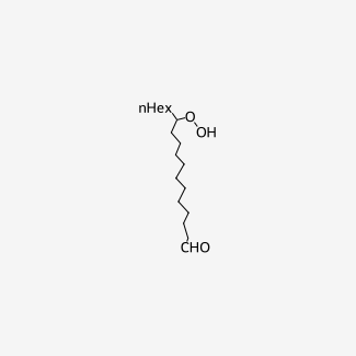 CCCCCCC(CCCCCCCCCCC=O)OO